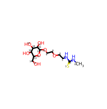 CNC(=S)NCCOCCOC1OC(CO)C(O)C(O)C1O